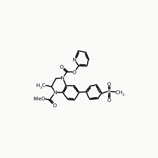 COC(=O)N1c2ccc(-c3ccc(S(C)(=O)=O)cc3)cc2N(C(=O)Oc2ccccn2)CC1C